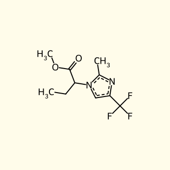 CCC(C(=O)OC)n1cc(C(F)(F)F)nc1C